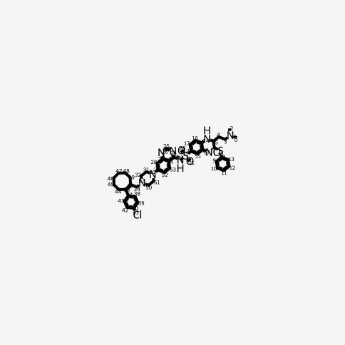 CN(C)CCC(CSc1ccccc1)Nc1ccc(S(=O)(=O)Nc2ncnc3cc(N4CCN(CC5=C(c6ccc(Cl)cc6)CCCCCC5)CC4)ccc23)cc1[N+](=O)[O-]